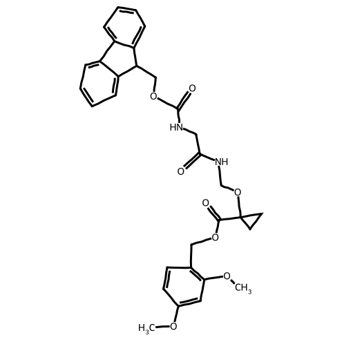 COc1ccc(COC(=O)C2(OCNC(=O)CNC(=O)OCC3c4ccccc4-c4ccccc43)CC2)c(OC)c1